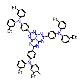 CCc1cccc(N(C2=CC(CC)C(C)C=C2)c2ccc(C3=NC4=NC(c5ccc(N(c6cccc(CC)c6)c6cccc(CC)c6)cc5)=NC5=NC(c6ccc(N(c7cccc(CC)c7)c7cccc(CC)c7)cc6)=NC(=N3)N45)cc2)c1